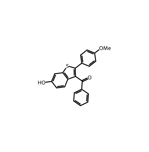 COc1ccc(-c2sc3cc(O)ccc3c2C(=O)c2ccccc2)cc1